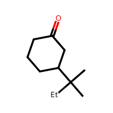 CCC(C)(C)C1CCCC(=O)C1